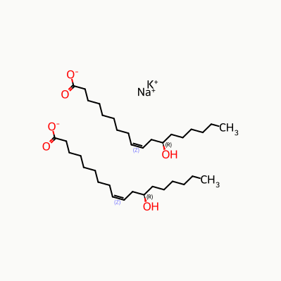 CCCCCC[C@@H](O)C/C=C\CCCCCCCC(=O)[O-].CCCCCC[C@@H](O)C/C=C\CCCCCCCC(=O)[O-].[K+].[Na+]